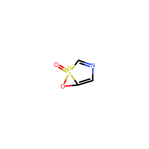 O=[SH]12C=NC=C1O2